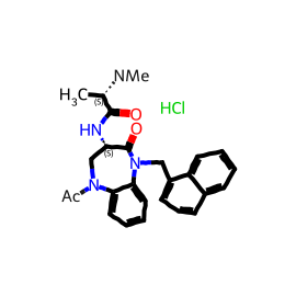 CN[C@@H](C)C(=O)N[C@H]1CN(C(C)=O)c2ccccc2N(Cc2cccc3ccccc23)C1=O.Cl